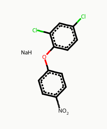 O=[N+]([O-])c1ccc(Oc2ccc(Cl)cc2Cl)cc1.[NaH]